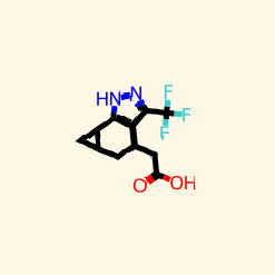 O=C(O)CC1CC2CC2c2[nH]nc(C(F)(F)F)c21